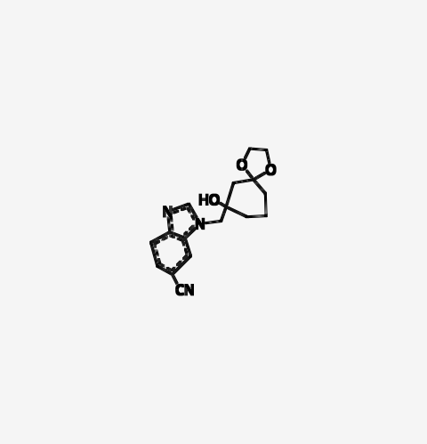 N#Cc1ccc2ncn(CC3(O)CCCC4(C3)OCCO4)c2c1